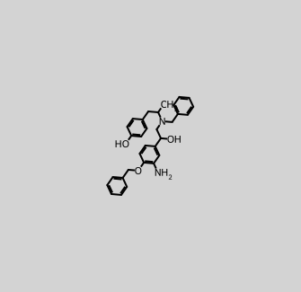 CC(Cc1ccc(O)cc1)N(Cc1ccccc1)CC(O)c1ccc(OCc2ccccc2)c(N)c1